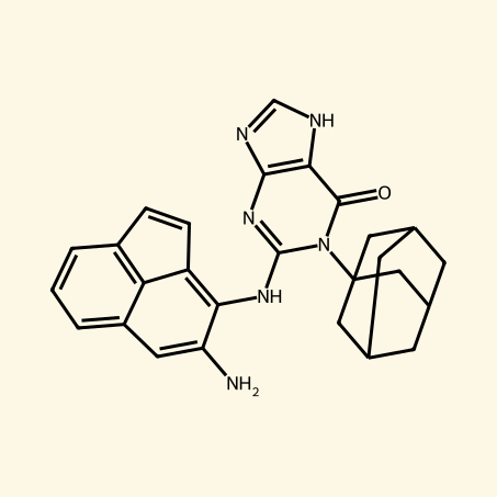 Nc1cc2cccc3c2c(c1Nc1nc2nc[nH]c2c(=O)n1C12CC4CC(CC(C4)C1)C2)C=C3